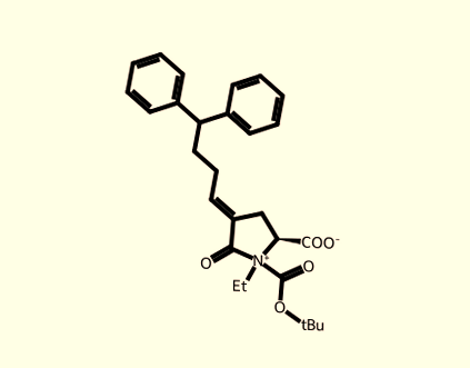 CC[N+]1(C(=O)OC(C)(C)C)C(=O)/C(=C/CCC(c2ccccc2)c2ccccc2)C[C@H]1C(=O)[O-]